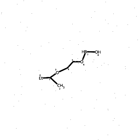 CCC(C)OCCOBO